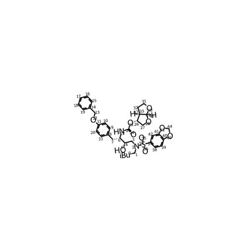 CC[C@H](C)CN(C[C@@H](O)[C@H](Cc1ccc(OCc2ccccc2)cc1)NC(=O)O[C@H]1CO[C@H]2OCC[C@H]21)S(=O)(=O)c1ccc2c(c1)OCO2